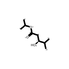 CC(C)OC(=O)C[C@H](O)C(C)C